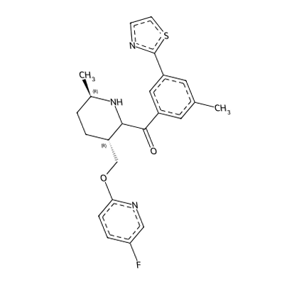 Cc1cc(C(=O)C2N[C@H](C)CC[C@H]2COc2ccc(F)cn2)cc(-c2nccs2)c1